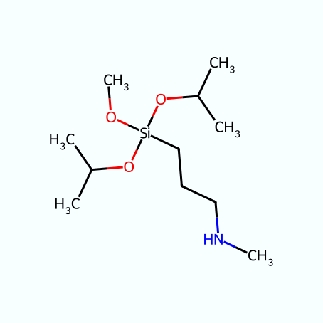 CNCCC[Si](OC)(OC(C)C)OC(C)C